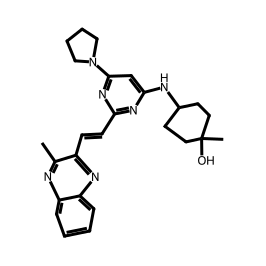 Cc1nc2ccccc2nc1C=Cc1nc(NC2CCC(C)(O)CC2)cc(N2CCCC2)n1